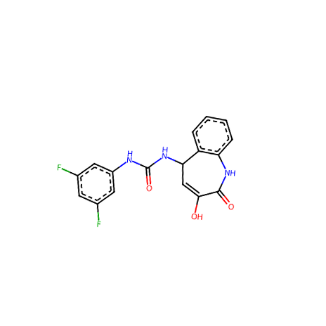 O=C(Nc1cc(F)cc(F)c1)NC1C=C(O)C(=O)Nc2ccccc21